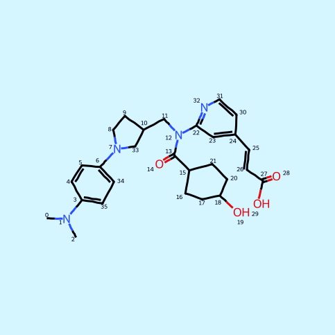 CN(C)c1ccc(N2CCC(CN(C(=O)C3CCC(O)CC3)c3cc(C=CC(=O)O)ccn3)C2)cc1